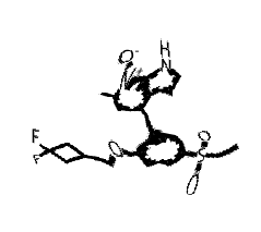 CCS(=O)(=O)c1ccc(OCC2CC(F)(F)C2)c(-c2cc(C)[n+]([O-])c3[nH]ccc23)c1